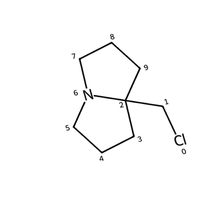 ClCC12CCCN1CCC2